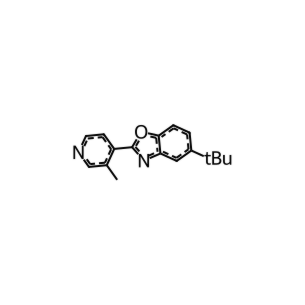 Cc1cnccc1-c1nc2cc(C(C)(C)C)ccc2o1